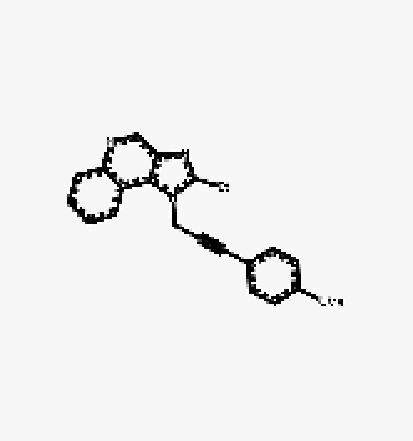 CCc1nc2cnc3ccccc3c2n1CC#Cc1ccc(OC)cc1